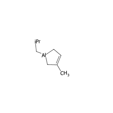 CC1=C[CH2][Al]([CH2]C(C)C)[CH2]1